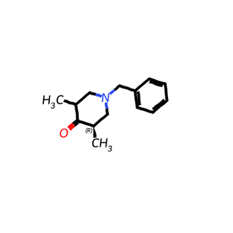 CC1CN(Cc2ccccc2)C[C@@H](C)C1=O